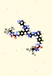 CC(C)(C)c1noc(C(=O)NCc2ccc(-c3c(Cn4cc(-c5nc6c(-c7ccc(CNC(=O)c8nnc(C(C)(C)C)o8)c(F)c7)ccnc6[nH]5)cn4)cnc4[nH]c(C5=CCNCC5)nc34)cc2F)n1